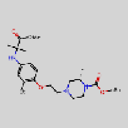 CCCCOC(=O)N1CCN(CCOc2ccc(NC(C)(C)C(=O)OC)cc2CC)C[C@@H]1C